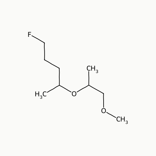 COCC(C)OC(C)CCCF